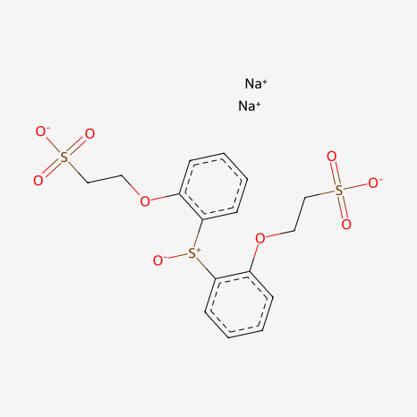 O=S(=O)([O-])CCOc1ccccc1[S+]([O-])c1ccccc1OCCS(=O)(=O)[O-].[Na+].[Na+]